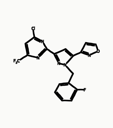 Fc1ccccc1Cn1nc(-c2nc(Cl)cc(C(F)(F)F)n2)cc1-c1ccon1